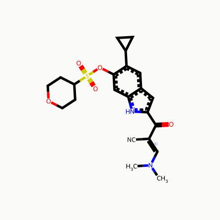 CN(C)/C=C(\C#N)C(=O)c1cc2cc(C3CC3)c(OS(=O)(=O)C3CCOCC3)cc2[nH]1